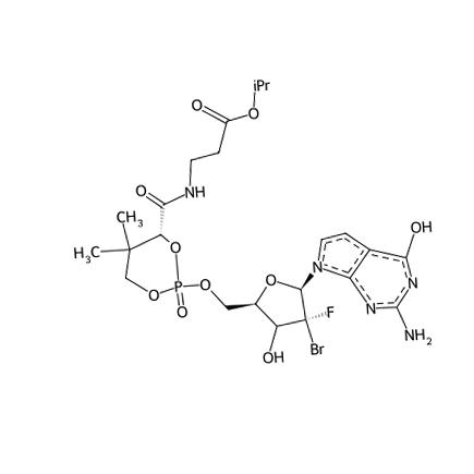 CC(C)OC(=O)CCNC(=O)[C@@H]1OP(=O)(OC[C@H]2O[C@@H](n3ccc4c(O)nc(N)nc43)[C@@](F)(Br)C2O)OCC1(C)C